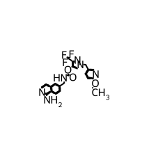 CCOc1ccc(Cn2cc(OC(=O)NCc3ccc4c(N)nccc4c3)c(C(F)(F)F)n2)cn1